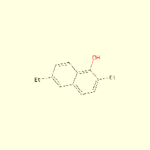 CCc1ccc2c(O)c(CC)ccc2c1